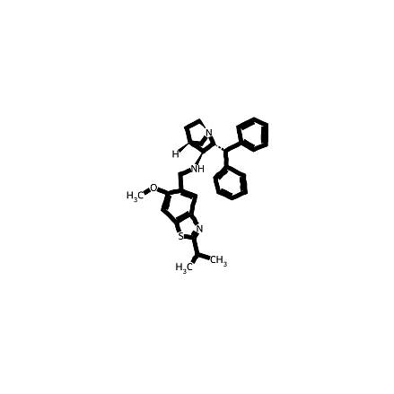 COc1cc2sc(C(C)C)nc2cc1CN[C@H]1[C@@H]2CC[N@](C2)[C@@H]1C(c1ccccc1)c1ccccc1